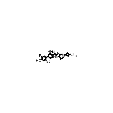 CCc1cc(O)c(F)cc1-c1ccc2c(-c3nc4c([nH]3)CCN(C3CC(C)C3)C4)n[nH]c2c1